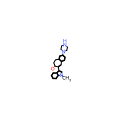 Cn1cc(C2=Cc3ccc(N4CCNCC4)cc3CCC2=O)c2ccccc21